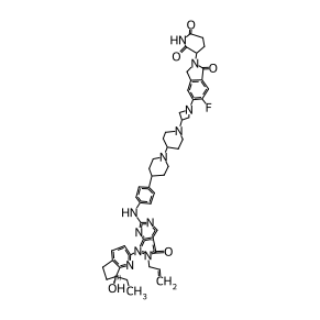 C=CCn1c(=O)c2cnc(Nc3ccc(C4CCN(C5CCN(C6CN(c7cc8c(cc7F)C(=O)N(C7CCC(=O)NC7=O)C8)C6)CC5)CC4)cc3)nc2n1-c1ccc2c(n1)[C@](O)(CC)CC2